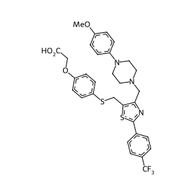 COc1ccc(N2CCN(Cc3nc(-c4ccc(C(F)(F)F)cc4)sc3CSc3ccc(OCC(=O)O)cc3)CC2)cc1